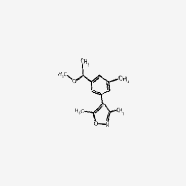 COC(C)c1cc(C)cc(-c2c(C)noc2C)c1